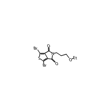 CCOCCCN1C(=O)c2c(Br)sc(Br)c2C1=O